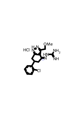 COCc1n[nH]c2c1/C(=N\NC(=N)N)CC(c1ccccc1Cl)C2.Cl